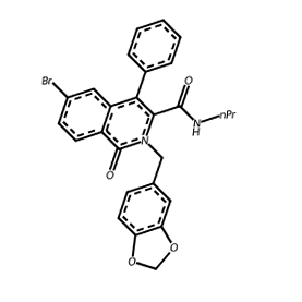 CCCNC(=O)c1c(-c2ccccc2)c2cc(Br)ccc2c(=O)n1Cc1ccc2c(c1)OCO2